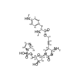 CNc1ccc(CC(NC)C(=O)OCC#Cc2cn([C@H]3C[C@@H](O)[C@@H](COP(=O)(O)n4ccnc4C)O3)c(=O)nc2N)cc1